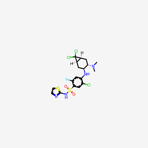 CN(C)[C@H]1C[C@H]2[C@@H](C[C@@H]1Nc1cc(F)c(S(=O)(=O)Nc3nccs3)cc1Cl)C2(Cl)Cl